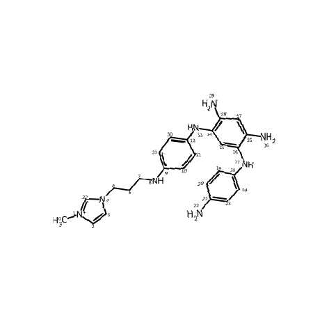 C[n+]1ccn(CCCNc2ccc(Nc3cc(Nc4ccc(N)cc4)c(N)cc3N)cc2)c1